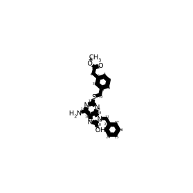 COC(=O)Cc1cccc(CSc2nc(N)c3nc(O)n(Cc4ccccc4)c3n2)c1